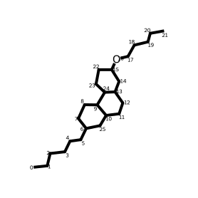 CCCCCCC1CCC2C(CCC3CC(OCCCCC)CCC32)C1